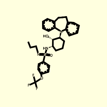 CCCN=S(=O)(N[C@H]1CCC[C@H](N2c3ccccc3CCc3ccccc32)[C@H]1O)c1ccc(OC(F)(F)F)cc1